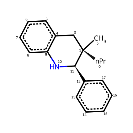 CCC[C@]1(C)Cc2ccccc2N[C@@H]1c1ccccc1